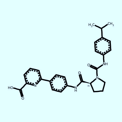 CC(C)c1ccc(NC(=O)N2CCC[C@H]2C(=O)Nc2ccc(-c3cccc(C(=O)O)n3)cc2)cc1